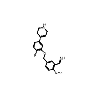 CNc1ccc(COc2cc(C3=CCNCC3)ccc2F)cc1C=N